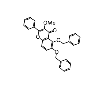 COc1c(-c2ccccc2)oc2ccc(OCc3ccccc3)c(OCc3ccccc3)c2c1=O